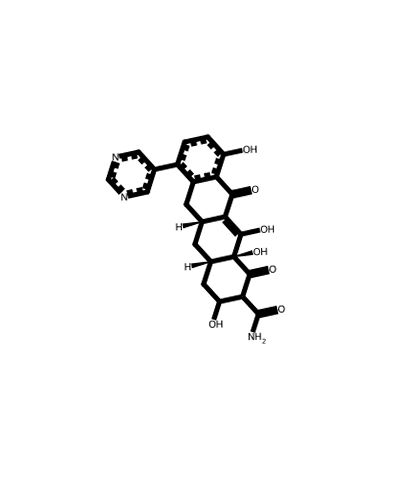 NC(=O)C1C(=O)[C@@]2(O)C(O)=C3C(=O)c4c(O)ccc(-c5cncnc5)c4C[C@H]3C[C@H]2CC1O